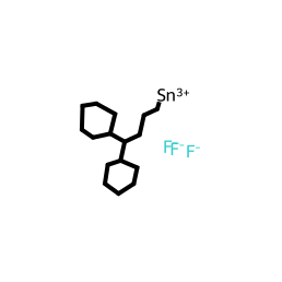 [F-].[F-].[F-].[Sn+3][CH2]CCC(C1CCCCC1)C1CCCCC1